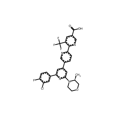 C[C@H]1COCCN1c1cc(-c2ccc(-c3ncc(C(=O)O)cc3C(F)(F)F)nc2)cc(-c2ccc(F)c(Cl)c2)n1